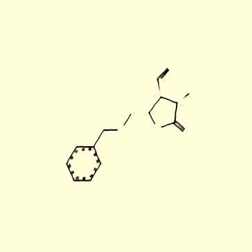 C=C[C@@H]1[C@@H](COCc2ccccc2)OC(=O)[C@@H]1F